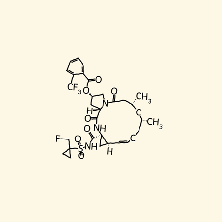 C[C@@H]1CC/C=C\[C@H]2C[C@@]2(C(=O)NS(=O)(=O)C2(CF)CC2)NC(=O)[C@@H]2C[C@@H](OC(=O)c3ccccc3C(F)(F)F)CN2C(=O)C[C@H](C)C1